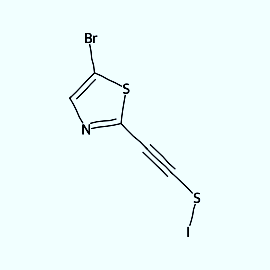 Brc1cnc(C#CSI)s1